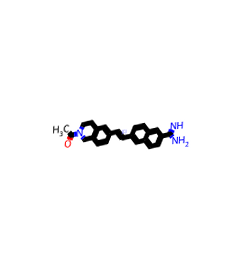 CC(=O)N1CCc2cc(/C=C/c3ccc4cc(C(=N)N)ccc4c3)ccc2C1